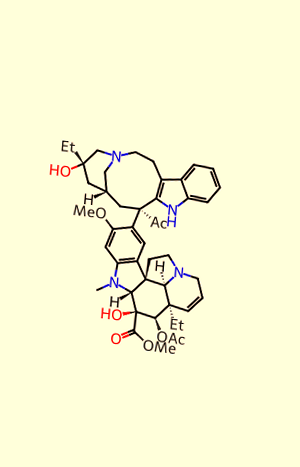 CC[C@]1(O)C[C@@H]2CN(CCc3c([nH]c4ccccc34)[C@@](C(C)=O)(c3cc4c(cc3OC)N(C)[C@H]3[C@@](O)(C(=O)OC)[C@H](OC(C)=O)[C@]5(CC)C=CCN6CC[C@]43[C@@H]65)C2)C1